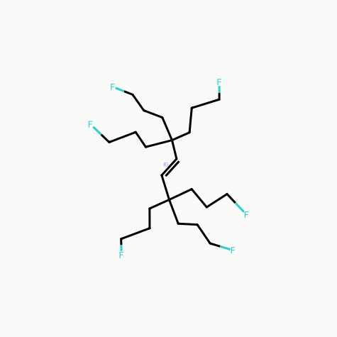 FCCCC(/C=C/C(CCCF)(CCCF)CCCF)(CCCF)CCCF